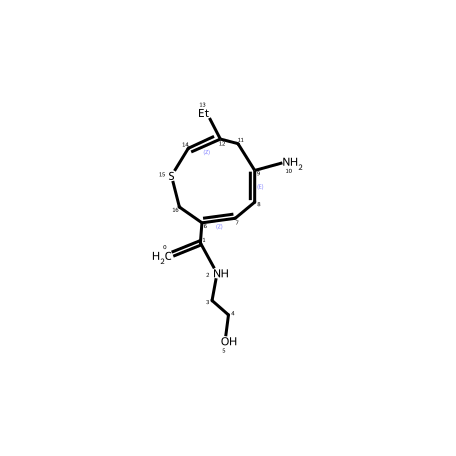 C=C(NCCO)/C1=C/C=C(/N)C/C(CC)=C\SC1